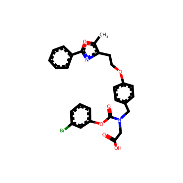 Cc1oc(-c2ccccc2)nc1CCOc1ccc(CN(CC(=O)O)C(=O)Oc2cccc(Br)c2)cc1